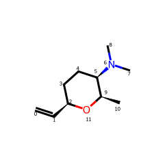 C=C[C@H]1CC[C@@H](N(C)C)[C@@H](C)O1